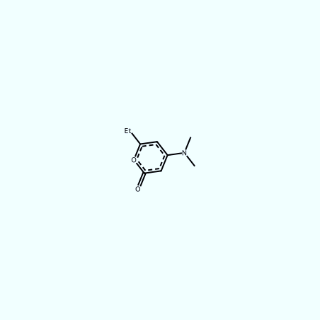 CCc1cc(N(C)C)cc(=O)o1